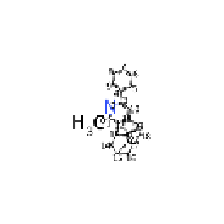 Cc1nc(-c2ccccc2)cc2c1C1CC3CC(CC2C3)C1